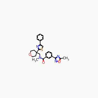 Cc1nc(-c2cccc(C(=O)N(C)CC3(c4nc(-c5ccccc5)cs4)CCOCC3)c2)no1